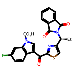 CC[C@@H](c1csc(C(=O)c2cn(C(=O)O)c3cc(F)ccc23)n1)N1C(=O)c2ccccc2C1=O